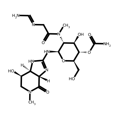 CN1C[C@@H](O)[C@H]2NC(N[C@@H]3O[C@H](CO)[C@@H](OC(N)=O)[C@H](O)[C@H]3N(C)C(=O)CN=CN)=N[C@@H]2C1=O